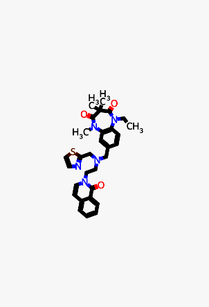 CCN1C(=O)C(C)(C)C(=O)N(C)c2cc(CN(CCn3ccc4ccccc4c3=O)Cc3nccs3)ccc21